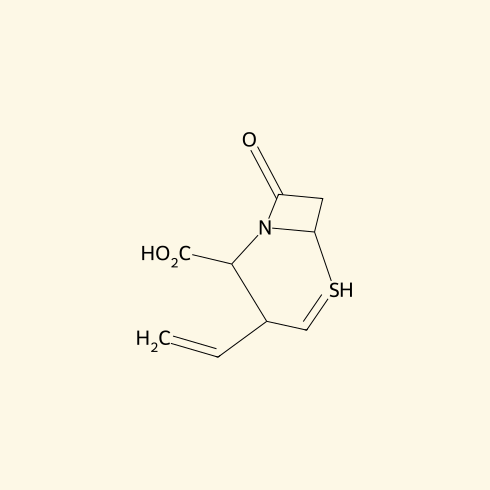 C=CC1C=[SH]C2CC(=O)N2C1C(=O)O